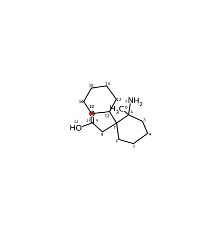 CC1(N)CCCCC1(CC(=O)O)C1CCCCC1